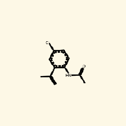 C=C(C)c1cc(Cl)ccc1NC(C)=O